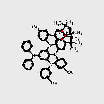 CC(C)(C)c1cccc(N2c3cc(C(C)(C)C)ccc3B3c4cc5c(cc4N(c4ccc(C(C)(C)C)cc4-c4ccc6c(c4)C(C)(C)CC6(C)C)c4cc(N(c6ccccc6)c6ccccc6)cc2c43)C(C)(C)CC5(C)C)c1